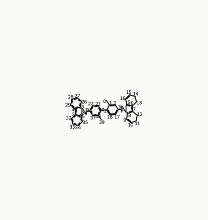 CC1=CC(n2c3c(c4c2C=CCC4)CCC=C3)=C=C=C1c1ccc(-n2c3ccccc3c3ccccc32)cc1C